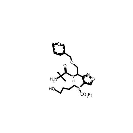 CCOC(=O)N(CCCCO)c1conc1C(COCc1ccccc1)NC(=O)C(C)(C)N